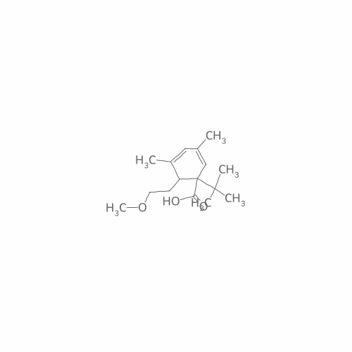 COCCC1C(C)=CC(C)=CC1(C(=O)O)C(C)(C)C